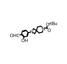 CC(C)(C)OC(=O)N1CCC2(CC1)CN(c1ccc(C=O)c(O)c1)C2